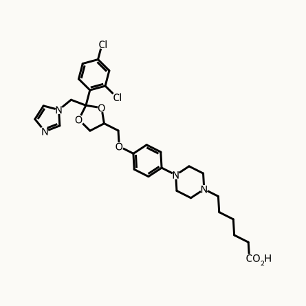 O=C(O)CCCCCN1CCN(c2ccc(OCC3COC(Cn4ccnc4)(c4ccc(Cl)cc4Cl)O3)cc2)CC1